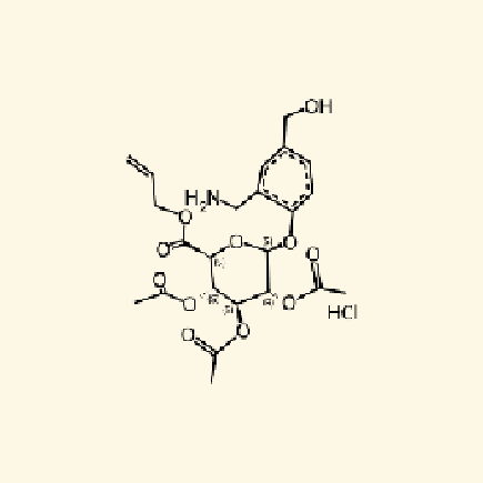 C=CCOC(=O)[C@H]1O[C@@H](Oc2ccc(CO)cc2CN)[C@H](OC(C)=O)[C@@H](OC(C)=O)[C@@H]1OC(C)=O.Cl